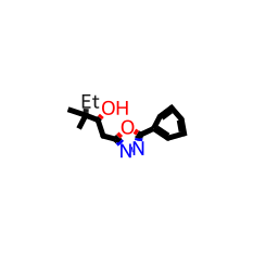 CCC(C)(C)C(O)Cc1nnc(-c2ccccc2)o1